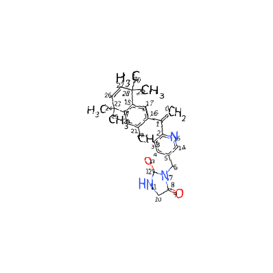 C=C(c1ccc(CN2C(=O)CNC2=O)cn1)c1cc2c(cc1C)C(C)(C)C=CC2(C)C